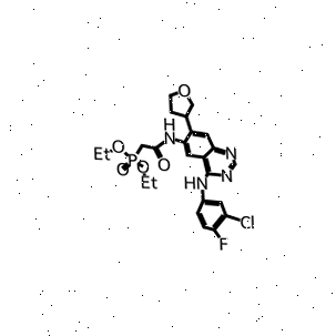 CCOP(=O)(CC(=O)Nc1cc2c(Nc3ccc(F)c(Cl)c3)ncnc2cc1C1CCOC1)OCC